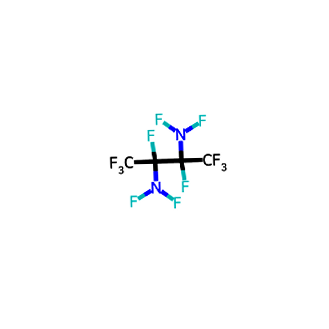 FN(F)C(F)(C(F)(F)F)C(F)(N(F)F)C(F)(F)F